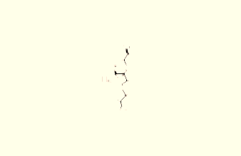 C=CCOC(COCCO)C(=O)O